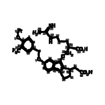 CC(C)Oc1ccc(COc2ccc3c(c2)c(Cl)c2n3CC[C@@H]2CC(=O)O)cc1C(F)(F)F.N=C(N)NCCC[C@H](N)C(=O)O